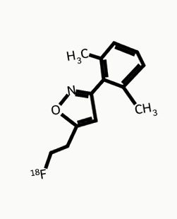 Cc1cccc(C)c1-c1cc(CC[18F])on1